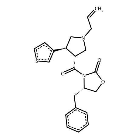 C=CCN1C[C@H](C(=O)N2C(=O)OC[C@@H]2Cc2ccccc2)[C@@H](c2ccsc2)C1